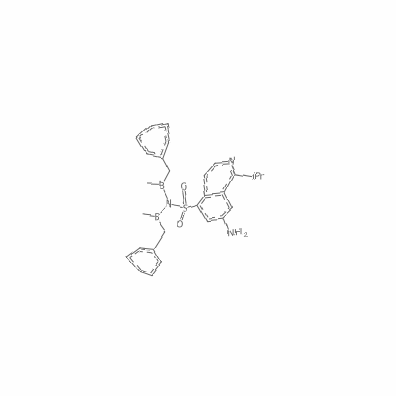 CB(Cc1ccccc1)N(B(C)Cc1ccccc1)S(=O)(=O)c1cc(N)cc2c(C(C)C)nccc12